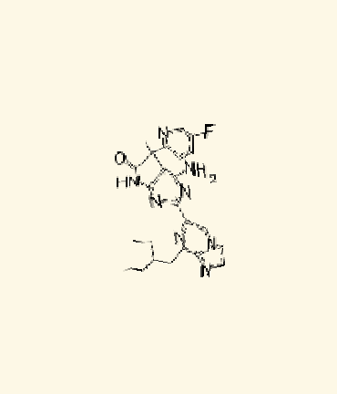 CCC(CC)Cc1nc(-c2nc(N)c3c(n2)NC(=O)C3(C)c2ccc(F)cn2)cn2ccnc12